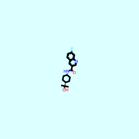 CC(C)(O)[C@H]1CC[C@H](NC(=O)c2cnc3cc(F)ccc3c2)CC1